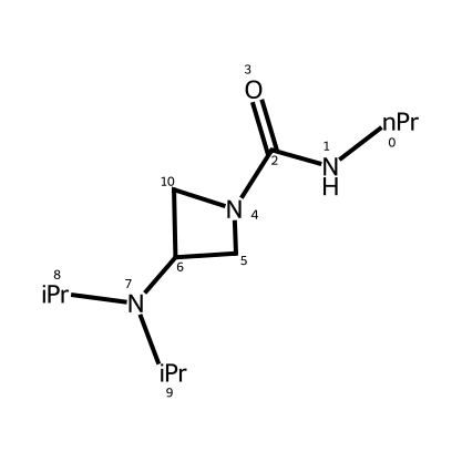 CCCNC(=O)N1CC(N(C(C)C)C(C)C)C1